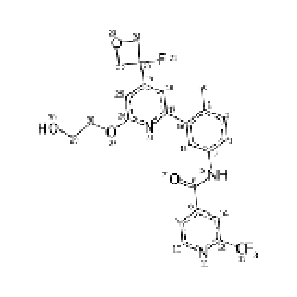 Cc1ccc(NC(=O)c2ccnc(C(F)(F)F)c2)cc1-c1cc(C2(F)COC2)cc(OCCO)n1